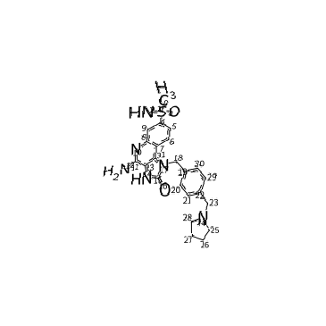 CS(=N)(=O)c1ccc2c(c1)nc(N)c1[nH]c(=O)n(Cc3ccc(CN4CCCC4)cc3)c12